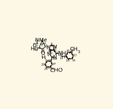 CNC(=O)[C@]12CC1[C@@H](n1cnc3c(NCc4cccc(C)c4)nc(-c4cccc(C=O)c4)nc31)[C@H](O)[C@@H]2O